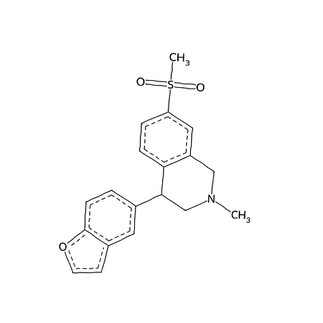 CN1Cc2cc(S(C)(=O)=O)ccc2C(c2ccc3occc3c2)C1